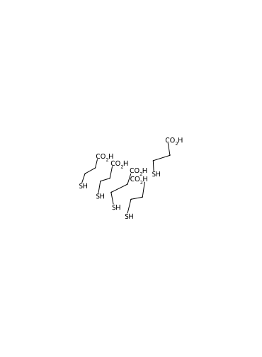 O=C(O)CCS.O=C(O)CCS.O=C(O)CCS.O=C(O)CCS.O=C(O)CCS